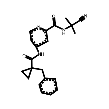 CC(C)(C#N)NC(=O)c1cc(NC(=O)C2(Cc3ccccc3)CC2)ccn1